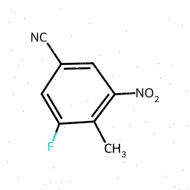 Cc1c(F)cc(C#N)cc1[N+](=O)[O-]